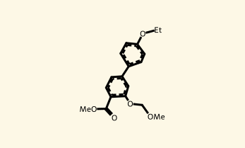 CCOc1ccc(-c2ccc(C(=O)OC)c(OCOC)c2)cc1